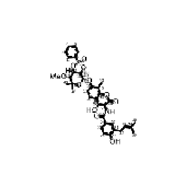 CO[C@@H]1[C@H]2OP(=O)(c3ccccc3)O[C@H]2[C@H](Oc2ccc3c(O)c(NC(=O)c4ccc(O)c(CC=C(C)C)c4)c(=O)oc3c2C)OC1(C)C